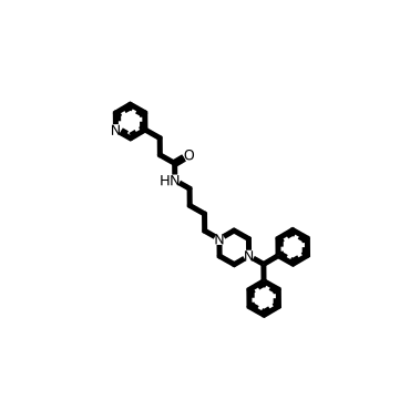 O=C(CCc1cccnc1)NCCCCN1CCN(C(c2ccccc2)c2ccccc2)CC1